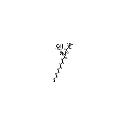 CCCCCCCCCCCN(OCCO)OCCO